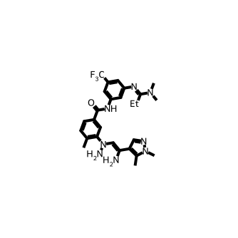 CC/C(=N\c1cc(NC(=O)c2ccc(C)c(N(N)/C=C(\N)c3cnn(C)c3C)c2)cc(C(F)(F)F)c1)N(C)C